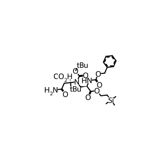 CC(C)(C)OC(=O)N(C[C@@H](NC(=O)OCc1ccccc1)C(=O)OCC[Si](C)(C)C)[C@@](CC(N)=O)(C(=O)O)C(C)(C)C